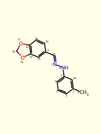 Cc1cccc(NN=Cc2ccc3c(c2)OCO3)c1